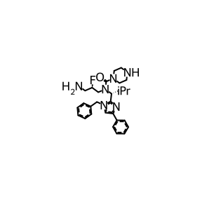 CC(C)[C@H](c1nc(-c2ccccc2)cn1Cc1ccccc1)N(C[C@H](F)CN)C(=O)N1CCNCC1